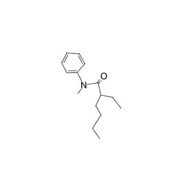 CCCCC(CC)C(=O)N(C)c1ccccc1